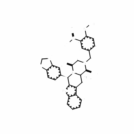 CNc1ccc(CN2CC(=O)N3[C@H](c4ccc5c(c4)OCO5)c4[nH]c5ccccc5c4C[C@@H]3C2=O)cc1[N+](=O)[O-]